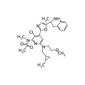 COCCN(CC1CC1C)c1cc(-c2ncc([C@@](C)(N)Cc3ccccc3)o2)c(Cl)c(N(C)S(C)(=O)=O)n1